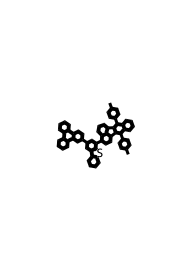 Cc1ccc(-c2c3c(c(-c4ccc(C)cc4)c4ccccc24)-c2ccc(-c4cc(-c5ccc6c7ccccc7c7ccccc7c6c5)cc5c4sc4ccccc45)c4cccc-3c24)cc1